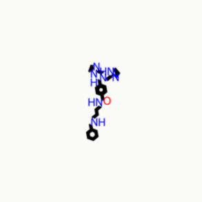 O=C(NCCCCNCC1CCCCC1)c1ccc(CN(Cc2ncc[nH]2)Cc2ncc[nH]2)cc1